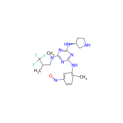 Cc1ccc(N=O)cc1Nc1nc(N[C@H]2CCNC2)nc(N(C)CC(C)C(F)(F)F)n1